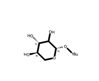 CC(C)(C)O[C@@H]1OC[C@@H](O)[C@H](O)C1O